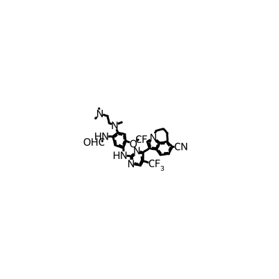 CN(C)CCN(C)c1cc(OC(F)(F)F)c(Nc2ncc(C(F)(F)F)c(-c3cn4c5c(c(C#N)ccc35)CCC4)n2)cc1NC=O